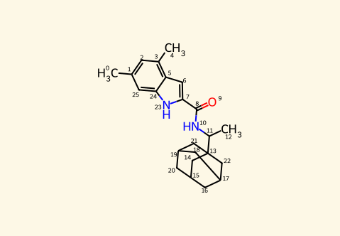 Cc1cc(C)c2cc(C(=O)NC(C)C34CC5CC(CC(C5)C3)C4)[nH]c2c1